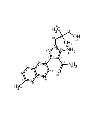 Cc1ccc2cc(-c3nn(CC(C)(C)CO)c(N)c3C(N)=O)cnc2c1